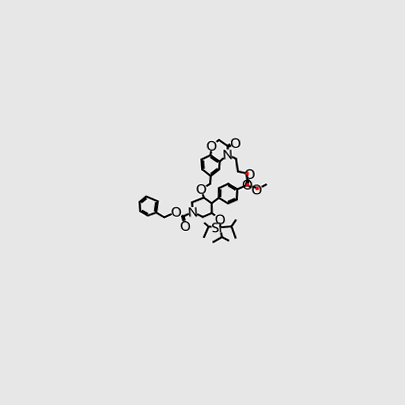 COCCCN1C(=O)COc2ccc(COC3CN(C(=O)OCc4ccccc4)CC(O[Si](C(C)C)(C(C)C)C(C)C)C3c3ccc(C(=O)OC)cc3)cc21